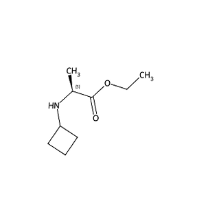 CCOC(=O)[C@H](C)NC1CCC1